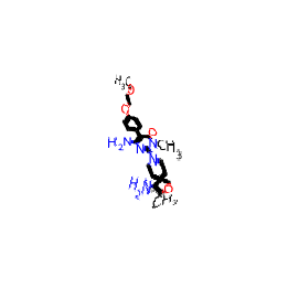 COCCOc1ccc(-c2c(N)nc(N3CCC4(CC3)CO[C@@H](C)[C@H]4N)n(C)c2=O)cc1